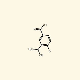 CC(O)c1cc(C(=O)O)ccc1Br